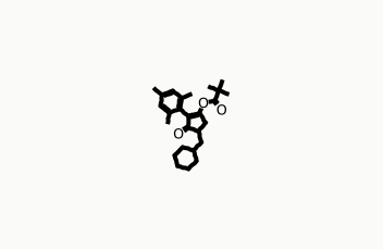 Cc1cc(C)c(C2=C(OC(=O)C(C)(C)C)CC(CC3CCCCC3)C2=O)c(C)c1